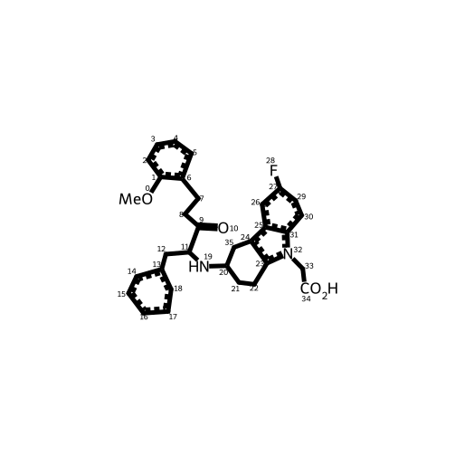 COc1ccccc1CCC(=O)C(Cc1ccccc1)NC1CCc2c(c3cc(F)ccc3n2CC(=O)O)C1